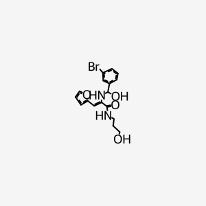 O=C(NCCCO)/C(=C/c1ccco1)NC(O)c1cccc(Br)c1